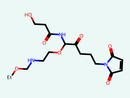 CCOCNCCOC(NC(=O)CCO)C(=O)CCCN1C(=O)C=CC1=O